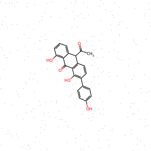 CC(=O)C1c2cccc(O)c2C(=O)c2c1ccc(-c1ccc(O)cc1)c2O